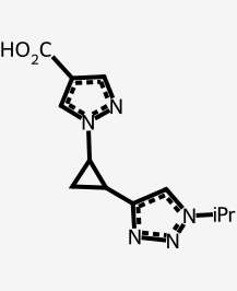 CC(C)n1cc(C2CC2n2cc(C(=O)O)cn2)nn1